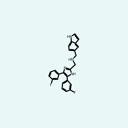 Fc1cccc(-c2nc(CNCc3ccc4[nH]ccc4c3)[nH]c2-c2cccc(F)c2)c1